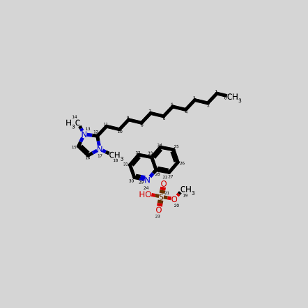 CCCCCCCCCCCCC1N(C)C=CN1C.COS(=O)(=O)O.c1ccc2ncccc2c1